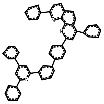 c1ccc(-c2cc(-c3ccccc3)nc(-c3cccc(-c4ccc(-c5cc(-c6ccccc6)c6ccc7ccc(-c8ccccc8)nc7c6n5)cc4)c3)c2)cc1